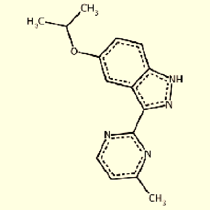 Cc1ccnc(-c2n[nH]c3ccc(OC(C)C)cc23)n1